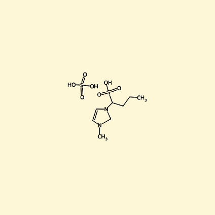 CCCC(N1C=CN(C)C1)S(=O)(=O)O.O=S(=O)(O)O